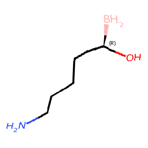 B[C@@H](O)CCCCN